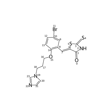 O=C1NC(=S)S/C1=C\c1cc(Br)ccc1OCCCn1ccnc1